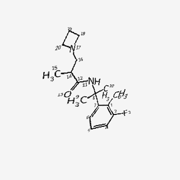 Cc1c(F)cccc1C(C)(C)NC(=O)C(C)CN1CCC1